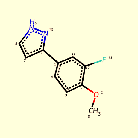 COc1ccc(-c2cc[nH]n2)cc1F